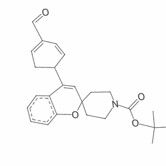 CC(C)(C)OC(=O)N1CCC2(C=C(C3C=CC(C=O)=CC3)c3ccccc3O2)CC1